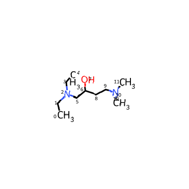 CCN(CC)CC(O)CCN(C)C